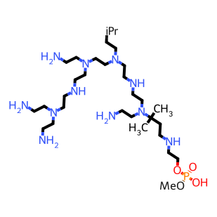 COP(=O)(O)OCCNCCC(C)(C)N(CCN)CCNCCN(CCC(C)C)CCN(CCN)CCNCCN(CCN)CCN